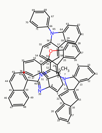 CC1C/C=C(c2c(-n3c4ccccc4c4cc5ccccc5cc43)c3c4ccccc4oc3c3ccccc23)/N=C(c2cccc3ccccc23)\N=C/1c1ccc2c(c1)c1ccccc1n2-c1ccccc1